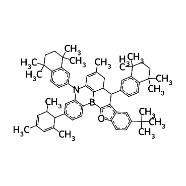 CC1=CC(C)C(c2ccc3c(c2)N(c2ccc4c(c2)C(C)(C)CCC4(C)C)C2=C4B3c3oc5ccc(C(C)(C)C)cc5c3C(c3ccc5c(c3)C(C)(C)CCC5(C)C)C4CC(C)=C2)C(C)=C1